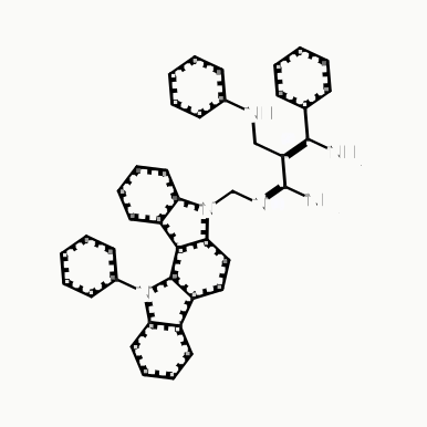 N/C(=C(CNc1ccccc1)\C(N)=N/Cn1c2ccccc2c2c1ccc1c3ccccc3n(-c3ccccc3)c12)c1ccccc1